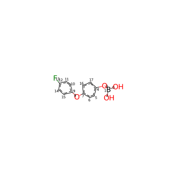 OB(O)Oc1ccc(Oc2ccc(F)cc2)cc1